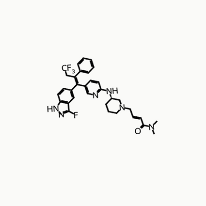 CN(C)C(=O)C=CCN1CCC[C@@H](Nc2ccc(/C(=C(/CC(F)(F)F)c3ccccc3)c3ccc4[nH]nc(F)c4c3)cn2)C1